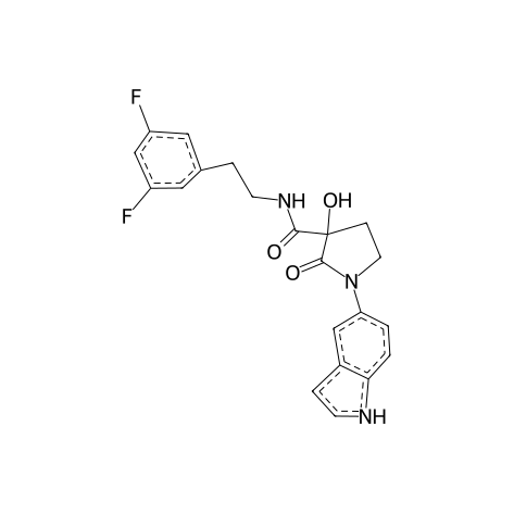 O=C(NCCc1cc(F)cc(F)c1)C1(O)CCN(c2ccc3[nH]ccc3c2)C1=O